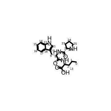 CC[C@H](C)[C@H](NC(=O)[C@H](Cc1c[nH]c2ccccc12)NC(=O)[C@@H]1CCCN1)C(=O)O